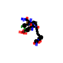 NC(=O)CC[C@H](NC(=O)[C@@H]1CC[C@@H]2CCN(C(=O)CCCCCC#Cc3cccc4c3CN(C3CCC(=O)NC3=O)C4=O)C[C@H](NC(=O)c3cc4cc(C(F)(F)OP(O)O)ccc4s3)C(=O)N21)c1ncc(-c2ccc(F)cc2)s1